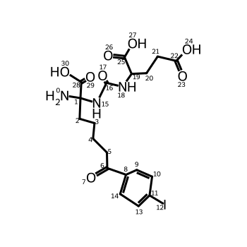 NC(CCCCC(=O)c1ccc(I)cc1)(NC(=O)NC(CCC(=O)O)C(=O)O)C(=O)O